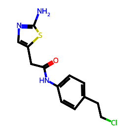 Nc1ncc(CC(=O)Nc2ccc(CCCl)cc2)s1